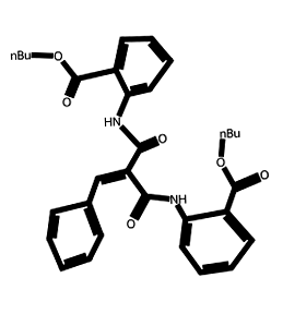 CCCCOC(=O)c1ccccc1NC(=O)C(=Cc1ccccc1)C(=O)Nc1ccccc1C(=O)OCCCC